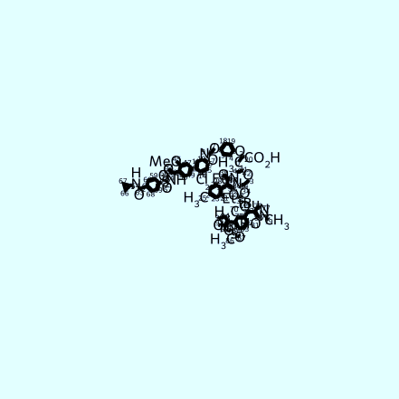 CC(Oc1ccc(Oc2nc3ccc(Cl)cc3o2)cc1)C(=O)O.CCc1cc(C)cc(CC)c1-c1c(OC(=O)C(C)(C)C)n2n(c1=O)CCOCC2.COc1ccccc1C(=O)NS(=O)(=O)c1ccc(C(=O)NC2CC2)cc1.Cc1c(C(=O)c2cnn(C)c2O)ccc(S(C)(=O)=O)c1C1=NOCC1